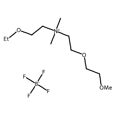 CCOCC[N+](C)(C)CCOCCOC.F[B-](F)(F)F